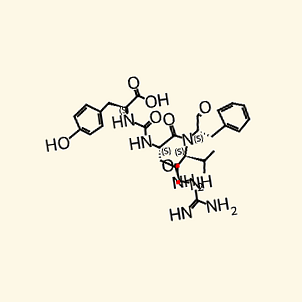 CC(C)[C@@H](C(N)=O)N(C(=O)[C@H](CCCNC(=N)N)NC(=O)N[C@@H](Cc1ccc(O)cc1)C(=O)O)[C@H](C=O)Cc1ccccc1